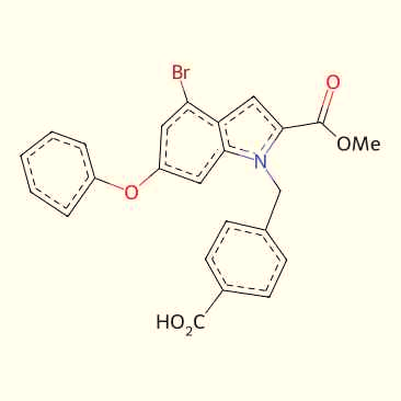 COC(=O)c1cc2c(Br)cc(Oc3ccccc3)cc2n1Cc1ccc(C(=O)O)cc1